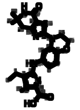 CCc1c(Nc2ccc3c(c2)N(c2nc4c(s2)C(=O)NC(C)(C)C4)CCO3)nc(C(=O)O)n1C